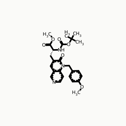 COC(=O)[C@@H](Cc1cc2cnccc2n(Cc2ccc(OC)cc2)c1=O)NC(=O)OC(C)(C)C